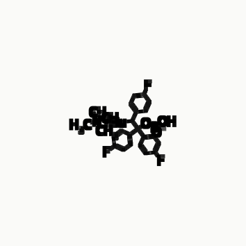 CCCCC(c1ccc(F)cc1)C(OB([O-])O)(c1ccc(F)cc1)c1ccc(F)cc1.C[N+](C)(C)C